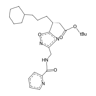 CC(C)(C)OC(=O)C[C@@H](CCCC1CCCCC1)c1nc(CNC(=O)c2ccccn2)no1